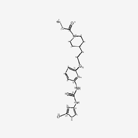 CC(C)(C)OC(=O)N1CCC(CCOc2cccc(NC(=O)Nc3csc(Cl)n3)n2)CC1